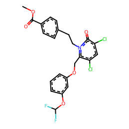 COC(=O)c1ccc(CCn2c(COc3cccc(OC(F)F)c3)c(Cl)cc(Cl)c2=O)cc1